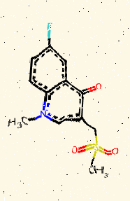 Cn1cc(CS(C)(=O)=O)c(=O)c2cc(F)ccc21